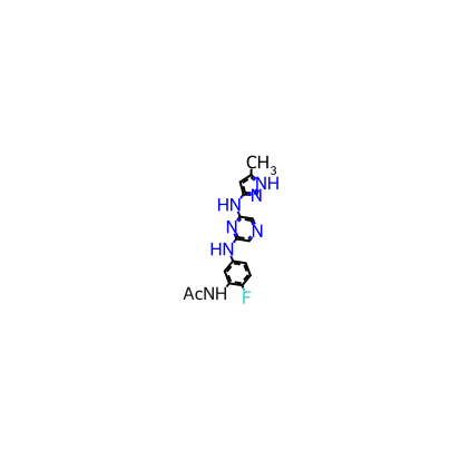 CC(=O)Nc1cc(Nc2cncc(Nc3cc(C)[nH]n3)n2)ccc1F